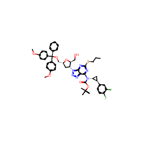 CCCSc1nc(N(C(=O)OC(C)(C)C)[C@@H]2C[C@H]2c2ccc(F)c(F)c2)c2nnn([C@@H]3C[C@H](COC(c4ccccc4)(c4ccc(OC)cc4)c4ccc(OC)cc4)O[C@H]3CO)c2n1